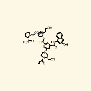 C=CC(=O)N1CCN(c2cc(C(=O)Nc3cc(O)cc4ccccc34)nc(NC[C@@H]3CCCN3CCO)n2)C[C@@H]1CC#N.CCOC(=O)CN1CCC[C@H]1C(N)=O